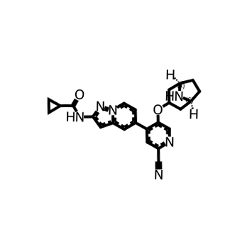 N#Cc1cc(-c2ccn3nc(NC(=O)C4CC4)cc3c2)c(OC2C[C@H]3CC[C@@H](C2)N3)cn1